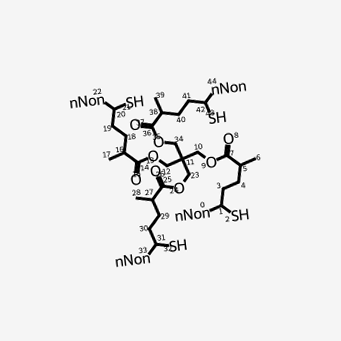 CCCCCCCCCC(S)CCC(C)C(=O)OCC(COC(=O)C(C)CCC(S)CCCCCCCCC)(COC(=O)C(C)CCC(S)CCCCCCCCC)COC(=O)C(C)CCC(S)CCCCCCCCC